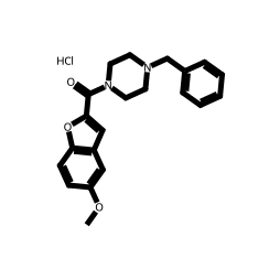 COc1ccc2oc(C(=O)N3CCN(Cc4ccccc4)CC3)cc2c1.Cl